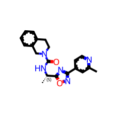 Cc1cc(-c2noc([C@H](C)NC(=O)N3CCc4ccccc4C3)n2)ccn1